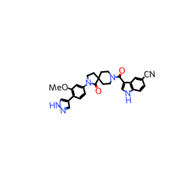 COc1cc(N2CCC3(CCN(C(=O)c4c[nH]c5ccc(C#N)cc45)CC3)C2=O)ccc1-c1cn[nH]c1